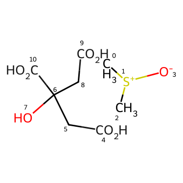 C[S+](C)[O-].O=C(O)CC(O)(CC(=O)O)C(=O)O